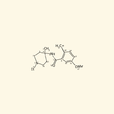 CCN1CCC(C)(NC(=O)c2cc(OC)ccc2C)CC1